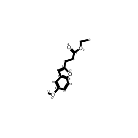 CCOC(=O)CCc1cc2cc(OC)ccc2o1